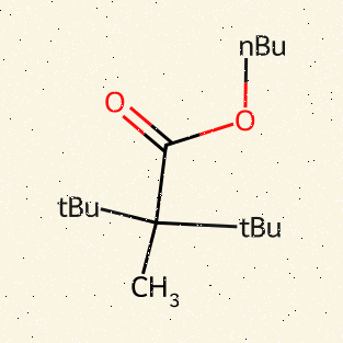 CCCCOC(=O)C(C)(C(C)(C)C)C(C)(C)C